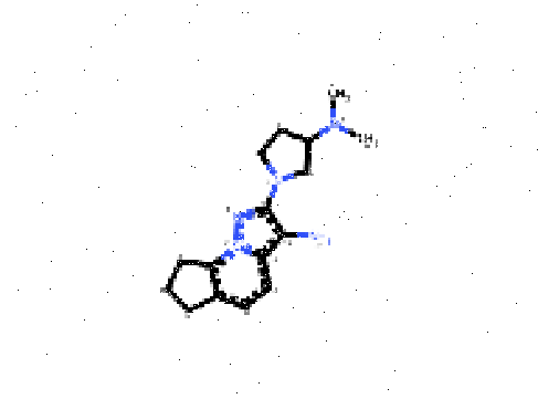 CN(C)C1CCN(c2nn3c4c(ccc3c2N)CCC4)C1